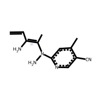 C=C/C(N)=C(\C)N(N)c1cc(C)c(C#N)cn1